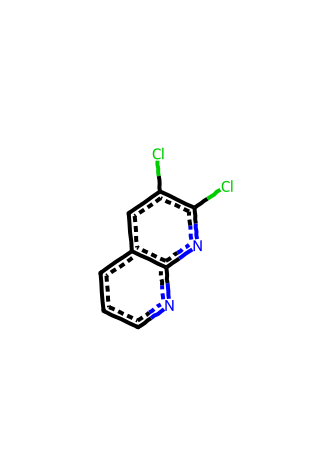 Clc1cc2cccnc2nc1Cl